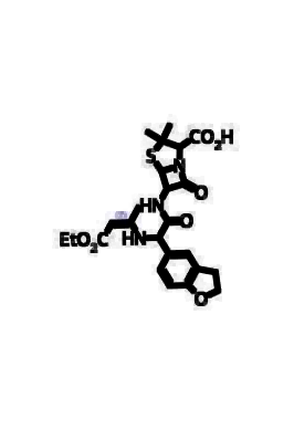 CCOC(=O)/C=C(/C)NC(C(=O)NC1C(=O)N2C1SC(C)(C)C2C(=O)O)c1ccc2c(c1)CCO2